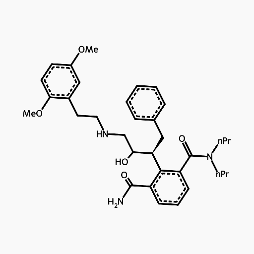 CCCN(CCC)C(=O)c1cccc(C(N)=O)c1[C@H](Cc1ccccc1)C(O)CNCCc1cc(OC)ccc1OC